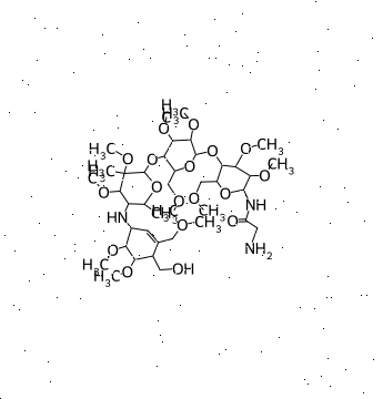 COCC1=CC(NC2C(C)OC(OC3C(COC)OC(OC4C(COC)OC(NC(=O)CN)C(OC)C4OC)C(OC)C3OC)C(C)(OC)C2OC)C(OC)C(OC)C1CO